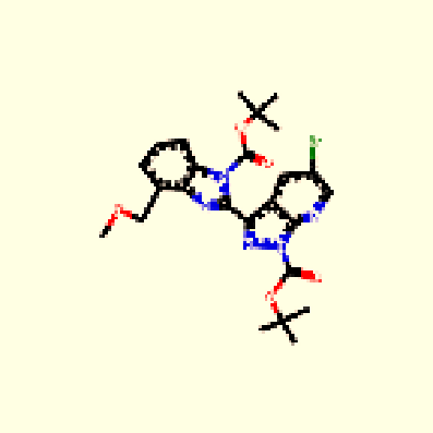 COCc1cccc2c1nc(-c1nn(C(=O)OC(C)(C)C)c3ncc(Br)cc13)n2C(=O)OC(C)(C)C